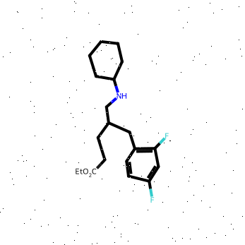 CCOC(=O)CCC(CNC1CCCCC1)Cc1ccc(F)cc1F